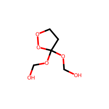 OCOC1(OCO)CCOO1